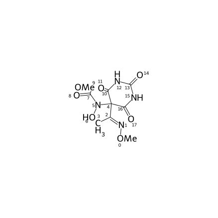 CON=C(C)C1(N(O)C(=O)OC)C(=O)NC(=O)NC1=O